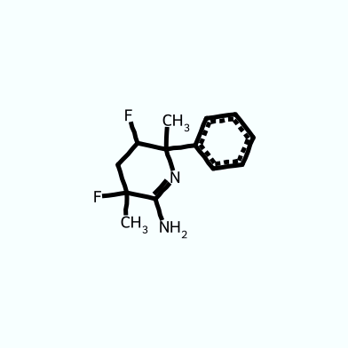 CC1(F)CC(F)C(C)(c2ccccc2)N=C1N